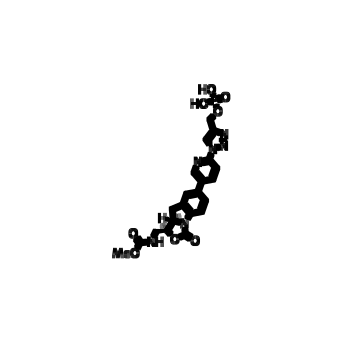 COC(=O)NC[C@@H]1OC(=O)N2c3ccc(-c4ccc(-n5cc(COP(=O)(O)O)nn5)nc4)cc3C[C@@H]12